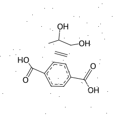 C=C.CC(O)CO.O=C(O)c1ccc(C(=O)O)cc1